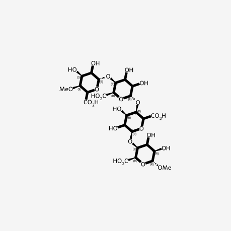 CO[C@@H]1O[C@@H](C(=O)O)[C@@H](O[C@@H]2OC(C(=O)O)[C@H](O[C@@H]3O[C@@H](C(=O)O)[C@@H](O[C@@H]4OC(C(=O)O)[C@@H](OC)[C@@H](O)C4O)C(O)C3O)[C@H](O)C2O)C(O)[C@H]1O